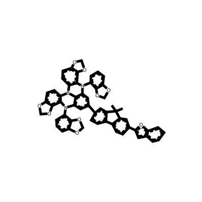 CC1(C)c2cc(-c3cc4c5c(c3)N(c3cccc6c3OCO6)c3c(ccc6c3OCO6)B5c3ccc5c(c3N4c3cccc4c3OCO4)OCO5)ccc2-c2ccc(-c3cc4ccccc4o3)cc21